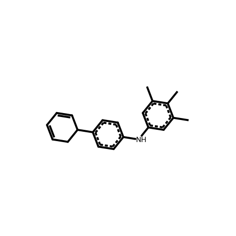 Cc1cc(Nc2ccc(C3C=CC=CC3)cc2)cc(C)c1C